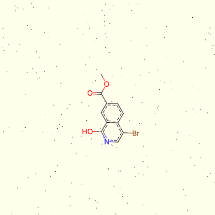 COC(=O)c1ccc2c(Br)cnc(O)c2c1